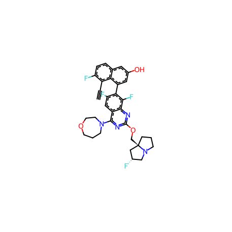 C#Cc1c(F)ccc2cc(O)cc(-c3c(F)cc4c(N5CCCOCC5)nc(OC[C@@]56CCCN5C[C@H](F)C6)nc4c3F)c12